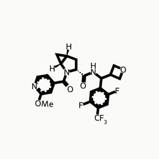 COc1cc(C(=O)N2[C@@H](C(=O)NC(c3cc(F)c(C(F)(F)F)cc3F)C3COC3)C[C@H]3C[C@H]32)ccn1